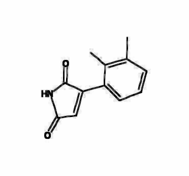 Cc1cccc(C2=CC(=O)NC2=O)c1C